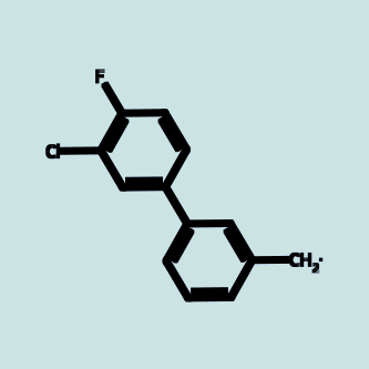 [CH2]c1cccc(-c2ccc(F)c(Cl)c2)c1